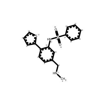 CNCc1ccc(-c2cccs2)c(NS(=O)(=O)c2ccccc2)c1